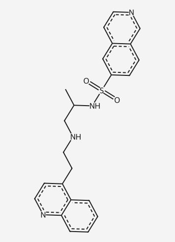 CC(CNCCc1ccnc2ccccc12)NS(=O)(=O)c1ccc2cnccc2c1